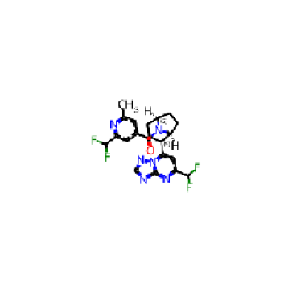 Cc1cc(C(=O)N2[C@H]3CC[C@H](c4cc(C(F)F)nc5ncnn45)[C@@H]2CC3)cc(C(F)F)n1